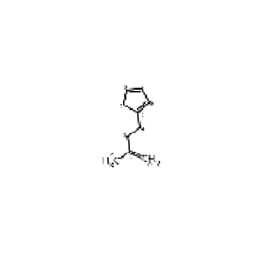 C=C(C)CCC1=CC=CC1